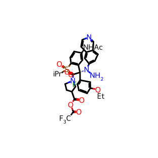 CCOc1ccc(F)c([C@@](C(=O)N2CCC(C(=O)OC(=O)C(F)(F)F)C2)(c2cc(NC(C)=O)ccc2S(=O)(=O)C(C)C)N(N)c2ccc3cnccc3c2)c1